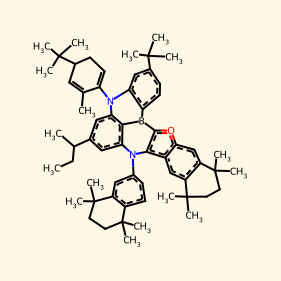 CCC(C)c1cc2c3c(c1)N(c1ccc4c(c1)C(C)(C)CCC4(C)C)c1c(oc4cc5c(cc14)C(C)(C)CCC5(C)C)B3c1ccc(C(C)(C)C)cc1N2C1=CCC(C(C)(C)C)C=C1C